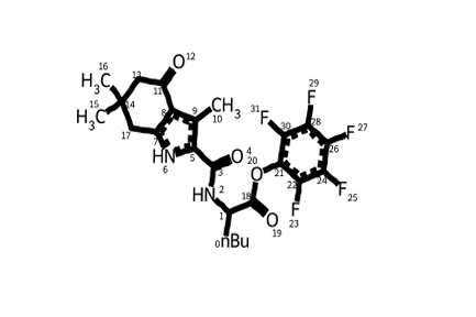 CCCCC(NC(=O)c1[nH]c2c(c1C)C(=O)CC(C)(C)C2)C(=O)Oc1c(F)c(F)c(F)c(F)c1F